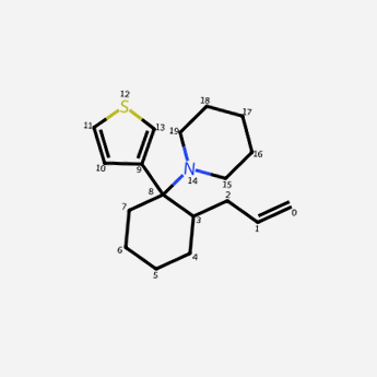 C=CCC1CCCCC1(c1ccsc1)N1CCCCC1